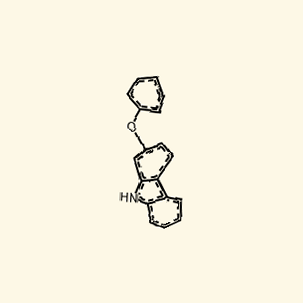 c1ccc(Oc2ccc3c(c2)[nH]c2ccccc23)cc1